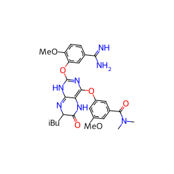 CCC(C)C1N=C2NC(Oc3cc(C(=N)N)ccc3OC)=NC(Oc3cc(OC)cc(C(=O)N(C)C)c3)=C2NC1=O